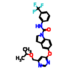 CC(C)OCc1cc(Oc2ccc3c(ccn3C(=O)Nc3cccc(C(F)(F)F)c3)c2)ncn1